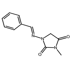 CN1C(=O)CN(N=Cc2ccccc2)C1=O